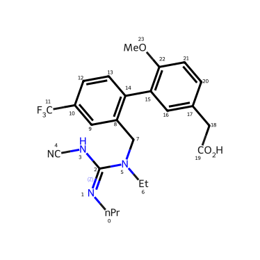 CCC/N=C(/NC#N)N(CC)Cc1cc(C(F)(F)F)ccc1-c1cc(CC(=O)O)ccc1OC